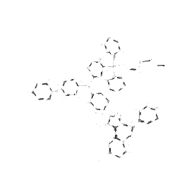 C=C/C=C\C=C/CC1(c2ccccc2)c2ccccc2-c2ccc(N(c3ccc(-c4ccccc4)cc3)c3ccc(-c4nn5c(-c6ccccc6)cc6ccc(F)cc6c5c4C)cc3)cc21